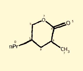 CCCC1COC(=O)C(C)C1